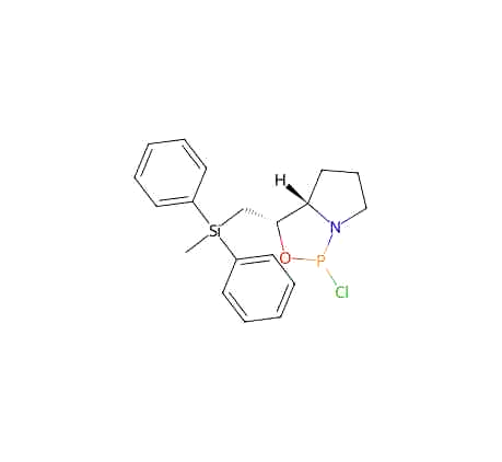 C[Si](C[C@H]1OP(Cl)N2CCC[C@@H]12)(c1ccccc1)c1ccccc1